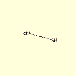 SCCCCCCCCCCCCCCCCCCOc1ccccc1